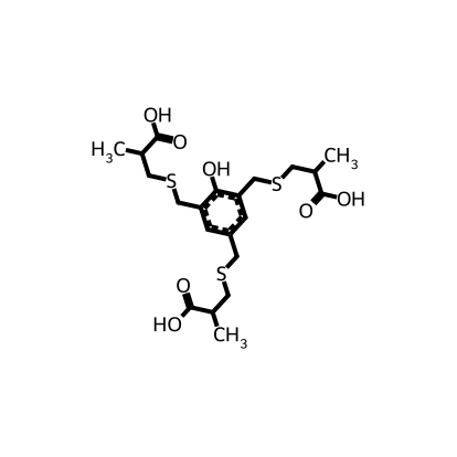 CC(CSCc1cc(CSCC(C)C(=O)O)c(O)c(CSCC(C)C(=O)O)c1)C(=O)O